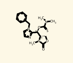 CN(C)C(=S)O[C@H](c1nccn1Cc1ccccc1)[C@@H]1COC(=O)N1C